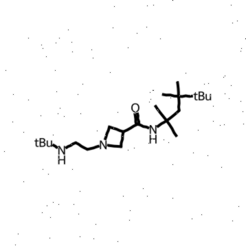 CC(C)(C)NCCN1CC(C(=O)NC(C)(C)CC(C)(C)C(C)(C)C)C1